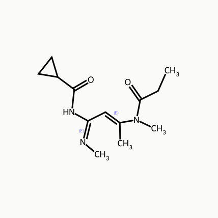 CCC(=O)N(C)/C(C)=C/C(=N\C)NC(=O)C1CC1